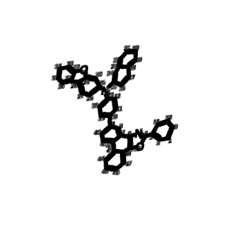 c1ccc(-c2nc3c4cc(-c5ccc(N(c6ccc7ccccc7c6)c6ccc7c(c6)oc6ccccc67)cc5)ccc4c4ccccc4c3o2)cc1